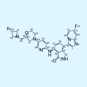 O=C1NCc2c(-c3cnc4cc(F)ccn34)ccc(Nc3ccc(N4CCO[C@H](CN5CC(F)C5)C4)cn3)c21